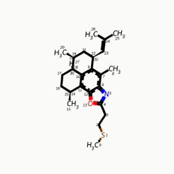 CSCCc1nc2c(C)c3c4c(c2o1)[C@@H](C)CC[C@@H]4[C@@H](C)C[C@H]3C=C(C)C